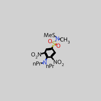 CCCN(CCC)c1c([N+](=O)[O-])cc(S(=O)(=O)N(C)SC)cc1[N+](=O)[O-]